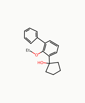 CCOc1c(-c2ccccc2)cccc1C1(O)CCCC1